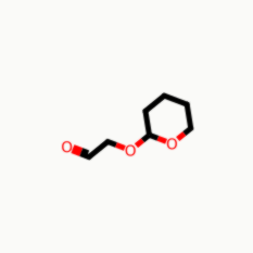 O=CCOC1CCCCO1